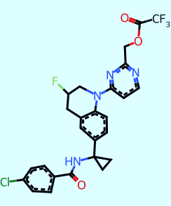 O=C(NC1(c2ccc3c(c2)CC(F)CN3c2ccnc(COC(=O)C(F)(F)F)n2)CC1)c1ccc(Cl)cc1